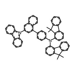 CC1(C)c2ccccc2-c2c(N(c3ccc(-c4cc(-n5c6ccccc6c6ccccc65)cc5ccccc45)cc3)c3cccc4c3C(C)(C)c3ccccc3-4)cccc21